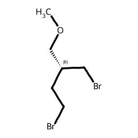 COC[C@H](CBr)CCBr